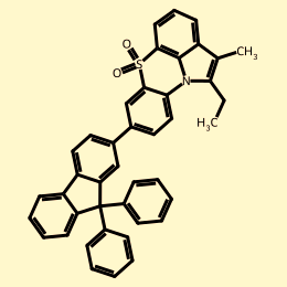 CCc1c(C)c2cccc3c2n1-c1ccc(-c2ccc4c(c2)C(c2ccccc2)(c2ccccc2)c2ccccc2-4)cc1S3(=O)=O